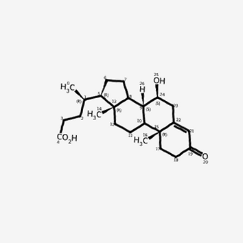 C[C@H](CCC(=O)O)[C@H]1CCC2[C@H]3C(CC[C@@]21C)[C@@]1(C)CCC(=O)C=C1C[C@@H]3O